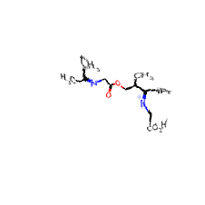 CC(C)=NCC(=O)OCC(C)/C(=N/CC(=O)O)C(C)C